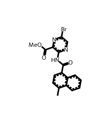 COC(=O)c1nc(Br)cnc1NC(=O)c1ccc(C)c2ccccc12